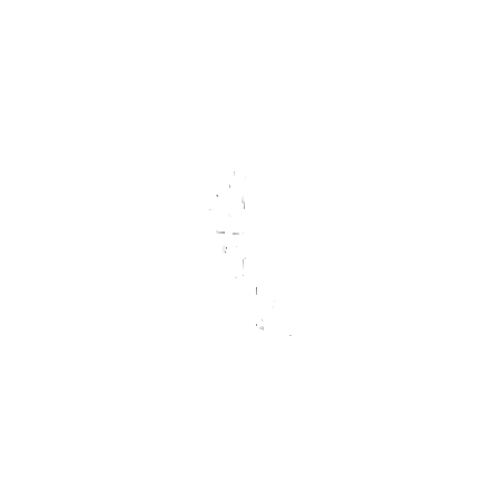 Cc1ccc(S(=O)(=O)NCCCCC2CC2(F)Br)cn1